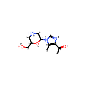 CC(=O)c1ncn(C2CNCC(CO)O2)c1C